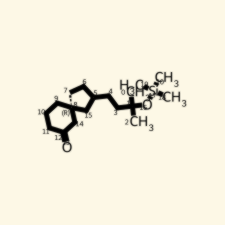 CC(C)(CCC1CC[C@]2(CCCC(=O)C2)C1)O[Si](C)(C)C